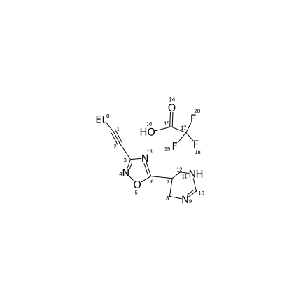 CCC#Cc1noc(C2CN=CNC2)n1.O=C(O)C(F)(F)F